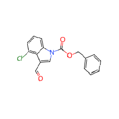 O=Cc1cn(C(=O)OCc2ccccc2)c2cccc(Cl)c12